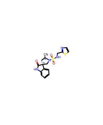 N#C[C@@H]1C[C@@]2(CN1S(=O)(=O)NCc1nccs1)C(=O)Nc1ccccc12